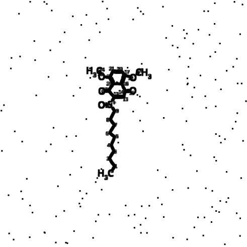 CCCCCCCCCC[S+]([O-])C1=CC(=O)c2c(OC)ccc(OC)c2C1=O